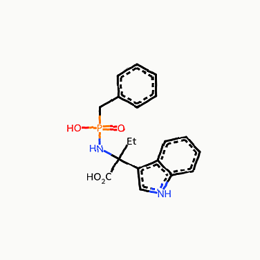 CCC(NP(=O)(O)Cc1ccccc1)(C(=O)O)c1c[nH]c2ccccc12